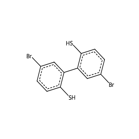 Sc1ccc(Br)cc1-c1cc(Br)ccc1S